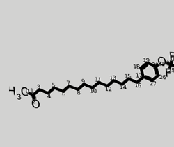 CC(=O)CCCCCCCCCCCCCCc1ccc(OC(F)(F)F)cc1